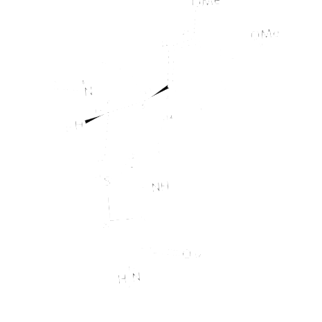 COc1ccc([C@]23CCN(C)[C@H]2CC2(CC3)NC(C(N)=O)CS2)cc1OC